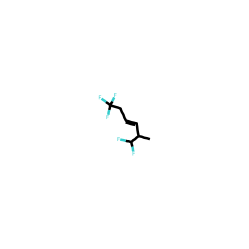 CC(C=CCC(F)(F)F)[C](F)F